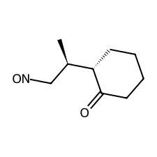 C[C@H](CN=O)[C@@H]1CCCCC1=O